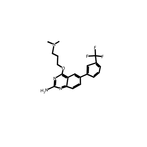 CN(C)CCCOc1nc(N)nc2ccc(-c3cccc(C(F)(F)F)c3)cc12